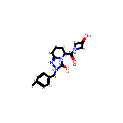 Cc1ccc(Cn2nc3n(c2=O)C(C(=O)N2CC(=O)C2)CCC3)cc1